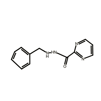 O=C(NNCc1ccccc1)c1ncccn1